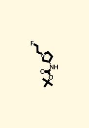 CC(C)(C)OC(=O)N[C@H]1CCN(CCF)C1